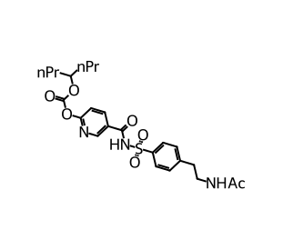 CCCC(CCC)OC(=O)Oc1ccc(C(=O)NS(=O)(=O)c2ccc(CCNC(C)=O)cc2)cn1